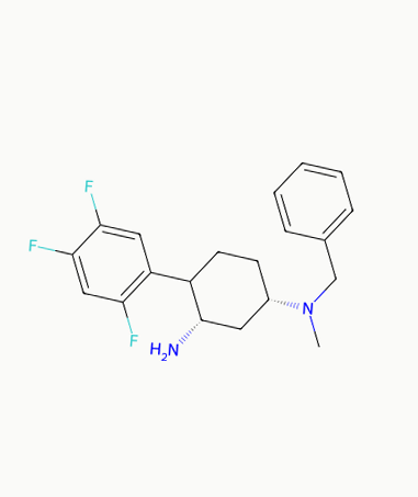 CN(Cc1ccccc1)[C@H]1CCC(c2cc(F)c(F)cc2F)[C@@H](N)C1